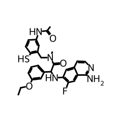 CCOc1cccc(C(Nc2cc3ccnc(N)c3cc2F)C(=O)N(C)Cc2cc(NC(C)=O)ccc2S)c1